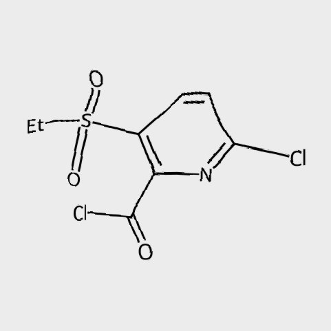 CCS(=O)(=O)c1ccc(Cl)nc1C(=O)Cl